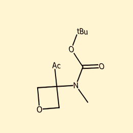 CC(=O)C1(N(C)C(=O)OC(C)(C)C)COC1